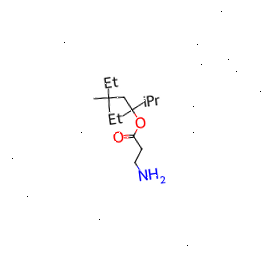 CCC(C)(C)CC(CC)(OC(=O)CCN)C(C)C